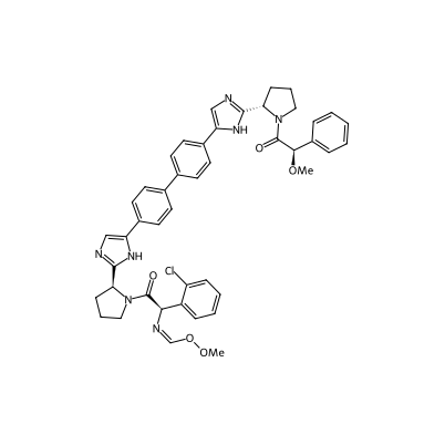 COO/C=N\[C@@H](C(=O)N1CCC[C@H]1c1ncc(-c2ccc(-c3ccc(-c4cnc([C@@H]5CCCN5C(=O)[C@H](OC)c5ccccc5)[nH]4)cc3)cc2)[nH]1)c1ccccc1Cl